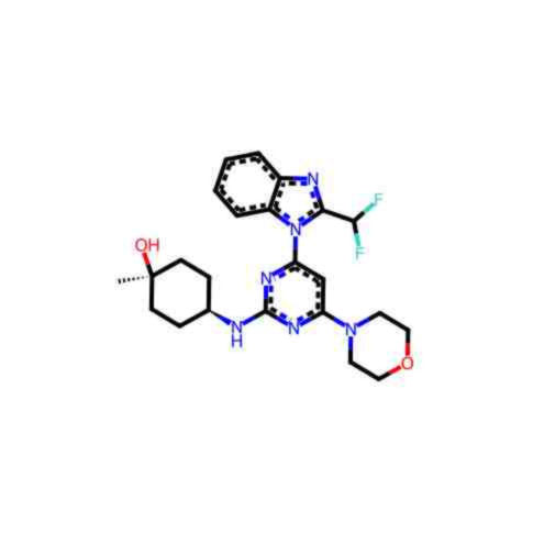 C[C@]1(O)CC[C@@H](Nc2nc(N3CCOCC3)cc(-n3c(C(F)F)nc4ccccc43)n2)CC1